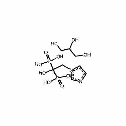 O=P(O)(O)C(O)(Cn1ccnc1)P(=O)(O)O.OCC(O)CO